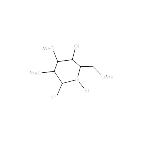 CCCC1C(OC)C(OC)C(O)C(COC)N1CC